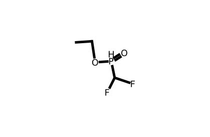 CCO[PH](=O)C(F)F